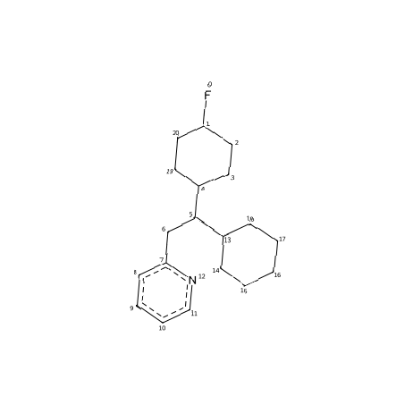 FC1CCC(C(Cc2ccccn2)C2CCCCC2)CC1